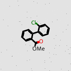 COC(=O)c1ccccc1-c1ccccc1Cl